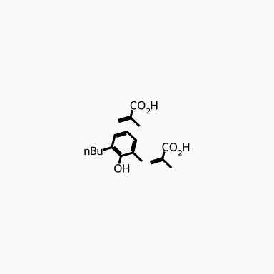 C=C(C)C(=O)O.C=C(C)C(=O)O.CCCCc1cccc(C)c1O